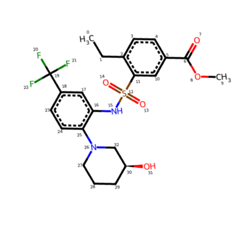 CCc1ccc(C(=O)OC)cc1S(=O)(=O)Nc1cc(C(F)(F)F)ccc1N1CCC[C@H](O)C1